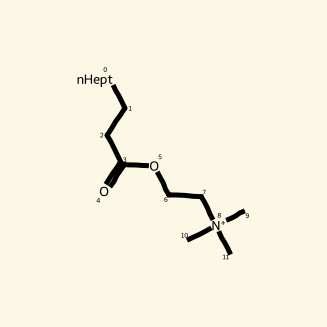 CCCCCCCCCC(=O)OCC[N+](C)(C)C